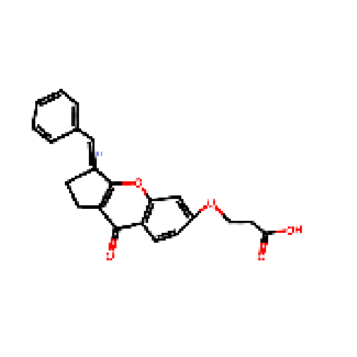 O=C(O)CCOc1ccc2c(=O)c3c(oc2c1)/C(=C/c1ccccc1)CC3